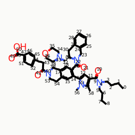 CCCCN(CCCC)C(=O)c1cc(-c2cc3c(cc2C(=O)N2Cc4ccccc4C[C@H]2CN2CCOCC2)CN(C(=O)Cc2ccc(C(=O)O)cc2)CC3)n(C)c1C